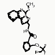 CSc1nc2ccccc2c2cc(CNC(=O)c3ccccc3OC(F)(F)F)nn12